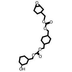 O=C(OCC1CCC(COC(=O)OCC2CCC[C@H](O)C2)CC1)OCC1CCC2OC2C1